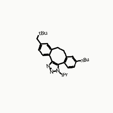 CCCCc1ccc2c(c1)CCc1cc(CC(C)(C)C)ccc1-c1nnn(C(C)C)c1-2